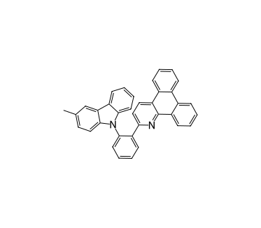 Cc1ccc2c(c1)c1ccccc1n2-c1ccccc1-c1ccc2c3ccccc3c3ccccc3c2n1